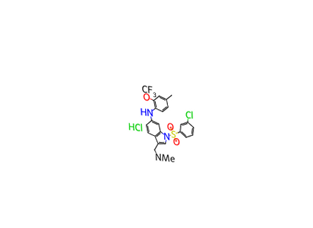 CNCc1cn(S(=O)(=O)c2cccc(Cl)c2)c2cc(Nc3ccc(C)cc3OC(F)(F)F)ccc12.Cl